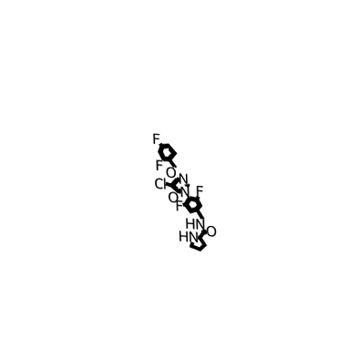 O=C(NCc1cc(F)c(-n2cnc(OCc3ccc(F)cc3F)c(Cl)c2=O)c(F)c1)C1CCCN1